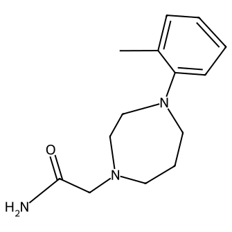 Cc1ccccc1N1CCCN(CC(N)=O)CC1